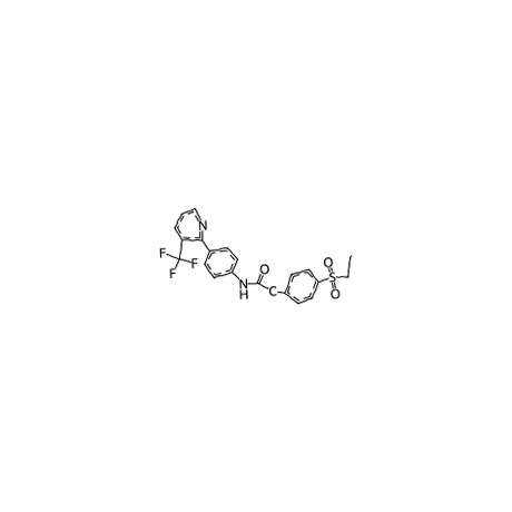 CCS(=O)(=O)c1ccc(CC(=O)Nc2ccc(-c3ncccc3C(F)(F)F)cc2)cc1